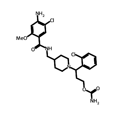 COc1cc(N)c(Cl)cc1C(=O)NCC1CCN(C(CCOC(N)=O)c2ccccc2Cl)CC1